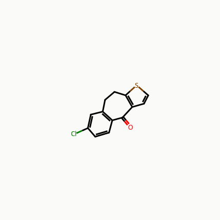 O=C1c2ccc(Cl)cc2CCc2sccc21